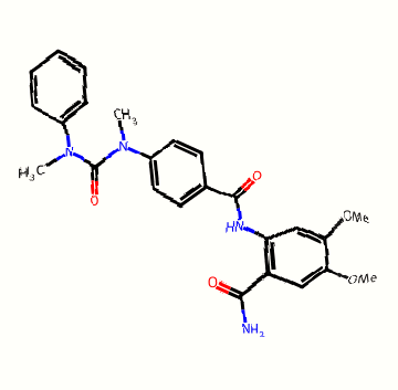 COc1cc(NC(=O)c2ccc(N(C)C(=O)N(C)c3ccccc3)cc2)c(C(N)=O)cc1OC